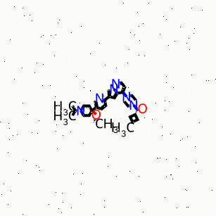 CCOC1(c2ccc(-c3cc4c(N5CCN(C(=O)[C@H]6C[C@H](C)C6)CC5)ccnn4c3)nc2)CCN(C(C)C)CC1